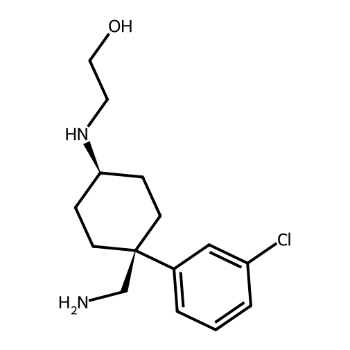 NC[C@]1(c2cccc(Cl)c2)CC[C@H](NCCO)CC1